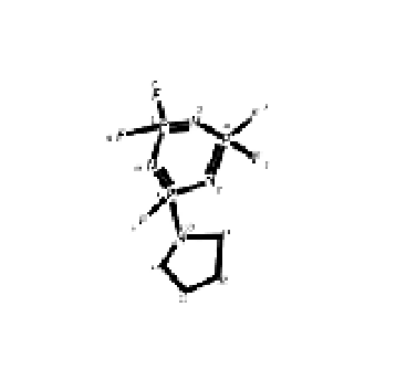 FP1(F)=NP(F)(F)=NP(F)(N2CCCC2)=N1